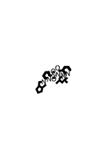 CC1CN(c2ncccc2C(=O)NS(=O)(=O)c2cccc(N3CC4CCCC4C3)n2)C(C)(C)C1